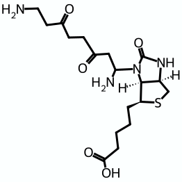 NCCC(=O)CCC(=O)CC(N)N1C(=O)N[C@H]2CS[C@@H](CCCCC(=O)O)[C@H]21